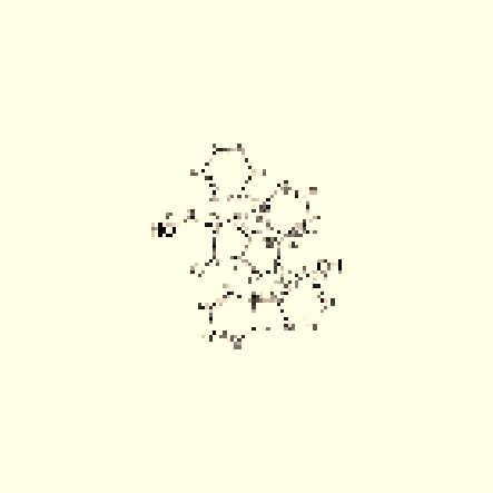 O=C1C2=C(C3(c4ccccc4)C=CC=CC3)N(CO)C(=O)C2=C(C2(c3ccccc3)C=CC=CC2)N1CO